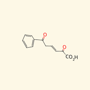 O=C(O)C(=O)/C=C/CC(=O)c1ccccc1